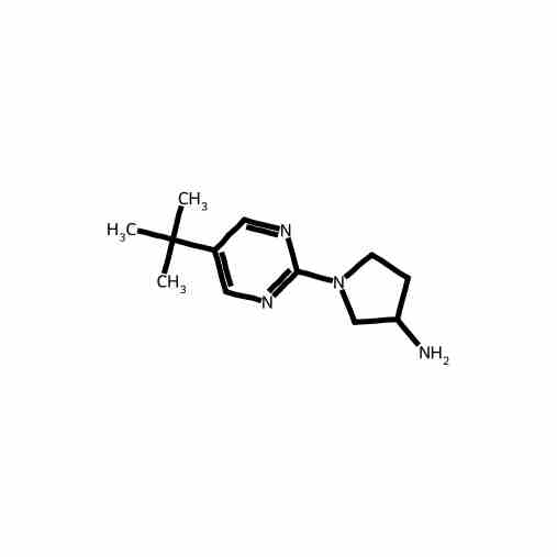 CC(C)(C)c1cnc(N2CCC(N)C2)nc1